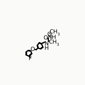 CONC(=O)C(C)NCc1ccc(COc2cccc(F)c2)cc1